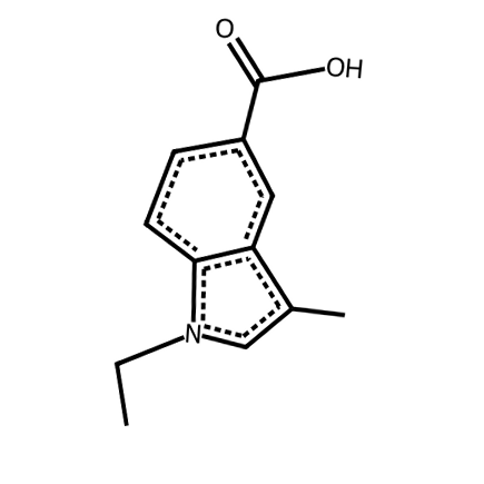 CCn1cc(C)c2cc(C(=O)O)ccc21